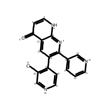 O=c1cc[nH]c2nc(-c3cccnc3)c(-c3ccncc3Cl)cc12